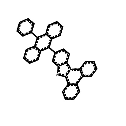 c1ccc(-c2c3ccccc3c(-c3ccc4c(c3)nc3c5ccccc5c5ccccc5n43)c3ccccc23)cc1